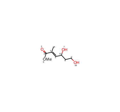 COC(=O)C(C)=CC(O)CCO